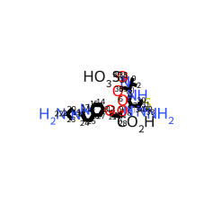 CC1(C)[C@H](NC(=O)/C(=N\O[C@@H](COc2ccc3nc(N4CC(N)C4)ccc3c2)C(=O)O)c2csc(N)n2)C(=O)N1OS(=O)(=O)O